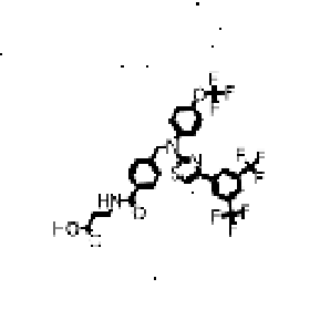 O=C(O)CCNC(=O)c1ccc(CN(c2ccc(OC(F)(F)F)cc2)c2nc(-c3cc(C(F)(F)F)cc(C(F)(F)F)c3)cs2)cc1